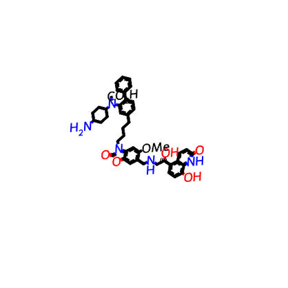 COc1cc2c(cc1CNC[C@@H](O)c1ccc(O)c3[nH]c(=O)ccc13)oc(=O)n2CCCCc1ccc(-c2ccccc2)c(N(C(=O)O)C2CCC(N)CC2)c1